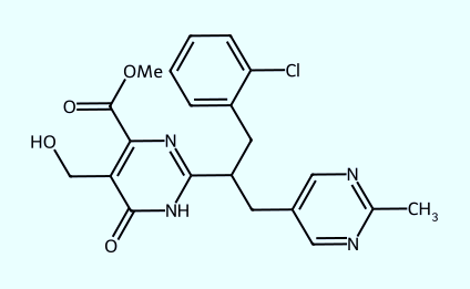 COC(=O)c1nc(C(Cc2cnc(C)nc2)Cc2ccccc2Cl)[nH]c(=O)c1CO